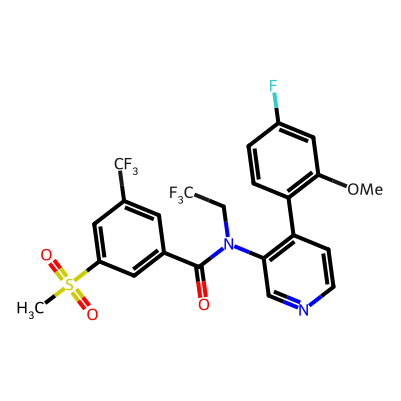 COc1cc(F)ccc1-c1ccncc1N(CC(F)(F)F)C(=O)c1cc(C(F)(F)F)cc(S(C)(=O)=O)c1